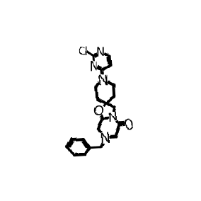 O=C1CN(Cc2ccccc2)CC2OC3(CCN(c4ccnc(Cl)n4)CC3)CN12